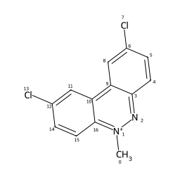 C[n+]1nc2ccc(Cl)cc2c2cc(Cl)ccc21